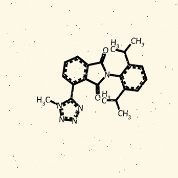 CC(C)c1cccc(C(C)C)c1N1C(=O)c2cccc(-c3nnnn3C)c2C1=O